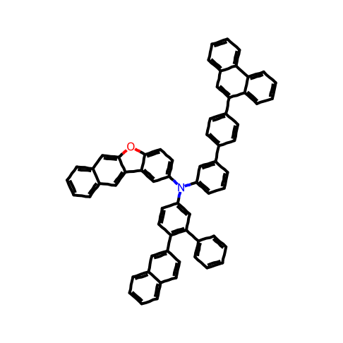 c1ccc(-c2cc(N(c3cccc(-c4ccc(-c5cc6ccccc6c6ccccc56)cc4)c3)c3ccc4oc5cc6ccccc6cc5c4c3)ccc2-c2ccc3ccccc3c2)cc1